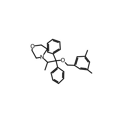 Cc1cc(C)cc(COC(c2ccccc2)(c2ccccc2)C(C)N2CCOCC2)c1